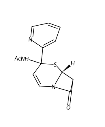 CC(=O)NC1(c2ccccn2)C=CN2C(=O)C[C@H]2S1